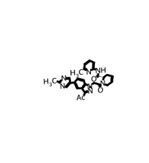 CC(=O)c1nn(CC(=O)N2CC=CC[C@H]2C(=O)Nc2cccc(C)n2)c2ccc(-c3cnc(C)nc3)cc12